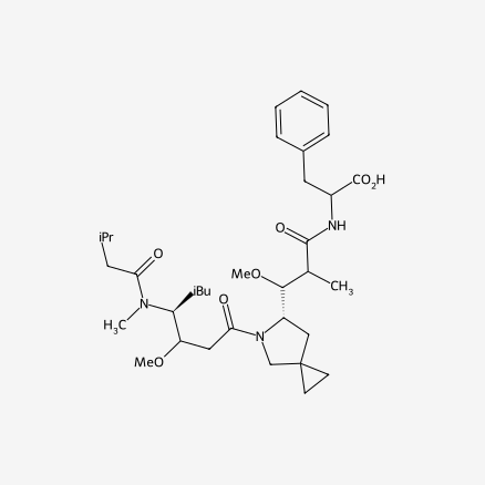 CCC(C)[C@@H](C(CC(=O)N1CC2(CC2)C[C@H]1C(OC)C(C)C(=O)NC(Cc1ccccc1)C(=O)O)OC)N(C)C(=O)CC(C)C